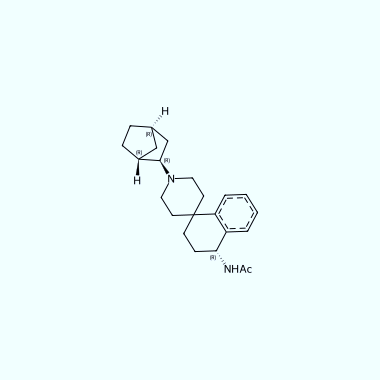 CC(=O)N[C@@H]1CCC2(CCN([C@@H]3C[C@@H]4CC[C@@H]3C4)CC2)c2ccccc21